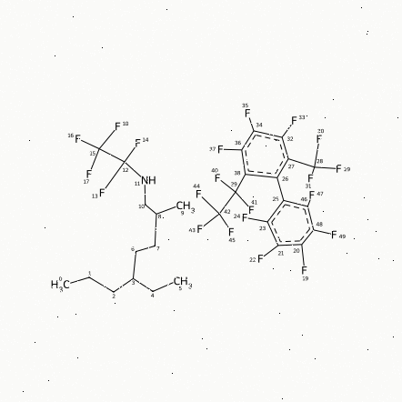 CCCC(CC)CCC(C)CNC(F)(F)C(F)(F)F.Fc1c(F)c(F)c(-c2c(C(F)(F)F)c(F)c(F)c(F)c2C(F)(F)C(F)(F)F)c(F)c1F